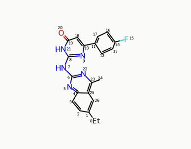 CCc1ccc2nc(Nc3nc(-c4ccc(F)cc4)cc(=O)[nH]3)nc(C)c2c1